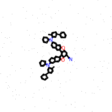 Cc1ccc(-c2ccccc2)cc1N(c1ccccc1)c1ccc2cc3c(cc2c1)oc1cc(C#N)c2oc4cc5cc(N(c6ccccc6)c6cc(-c7ccccc7)ccc6C)ccc5cc4c2c13